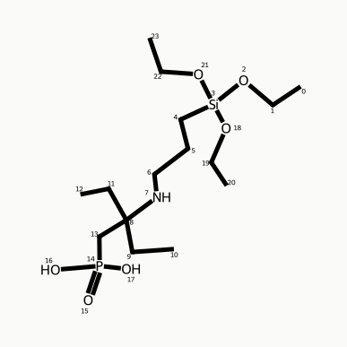 CCO[Si](CCCNC(CC)(CC)CP(=O)(O)O)(OCC)OCC